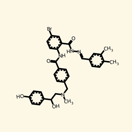 Cc1ccc(C=NNC(=O)c2cc(Br)ccc2NC(=O)c2ccc(CN(C)CC(O)c3ccc(O)cc3)cc2)cc1C